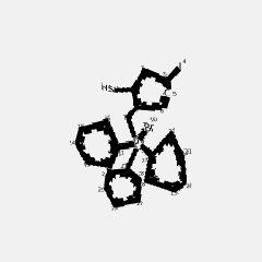 Sc1cc(I)ccc1CP(Br)(c1ccccc1)(c1ccccc1)c1ccccc1